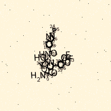 C[C@]1(C(N)=O)COc2c1cc(C(O)(CNC(=O)c1ccc3nn(C4CC4)cc3c1)C1CC1)nc2-c1ccc2c(c1)OC(F)(F)O2